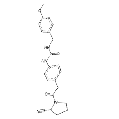 COc1ccc(CNC(=O)Nc2ccc(CC(=O)N3CCCC3C#N)cc2)cc1